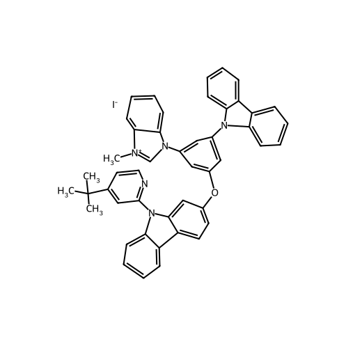 C[n+]1cn(-c2cc(Oc3ccc4c5ccccc5n(-c5cc(C(C)(C)C)ccn5)c4c3)cc(-n3c4ccccc4c4ccccc43)c2)c2ccccc21.[I-]